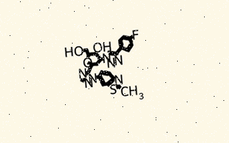 Cc1nc2ccc(-n3ncnc3C3CC(n4cc(-c5ccc(F)cc5)nn4)C(O)C(CO)O3)cc2s1